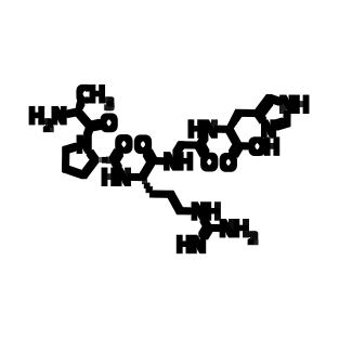 C[C@H](N)C(=O)N1CCC[C@H]1C(=O)N[C@@H](CCCNC(=N)N)C(=O)NCC(=O)N[C@@H](Cc1c[nH]cn1)C(=O)O